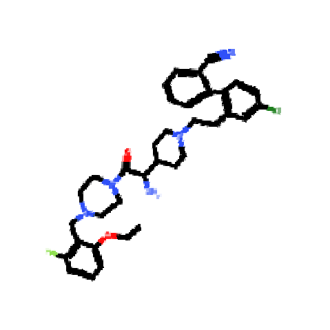 CCOc1cccc(F)c1CN1CCN(C(=O)[C@H](N)C2CCN(CCc3cc(Cl)ccc3-c3ccccc3C#N)CC2)CC1